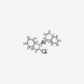 C1=C[CH]([Al+][CH]2C=Cc3ccccc32)c2ccccc21.[Cl-]